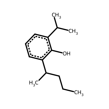 CCCC(C)c1cccc(C(C)C)c1O